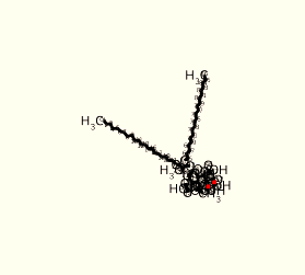 CCCCCCCCCCCCCCCCCCCCCCOC[C@]1(C)COC2(CC(OS(=O)(=O)O)C(OC(C)=O)C(C(OS(=O)(=O)O)C(OS(=O)(=O)O)OS(=O)(=O)O)O2)C(=O)OC1OCCCCCCCCCCCCCCCCCCCCCC